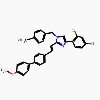 O=C(O)c1ccc(Cn2cc(-c3ccc(Cl)cc3Cl)nc2C=Cc2ccc(-c3ccc(OC(F)(F)F)cc3)cc2)cc1